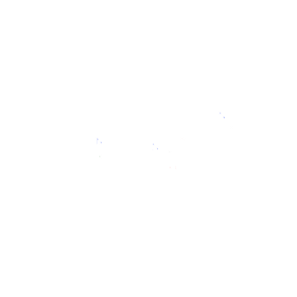 O=C(N[C@@H](CC[C@@H](Cc1ccccc1)NCl)Cc1ccccc1)OCc1cncs1